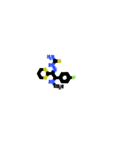 NC(=S)N/N=C(\C1SCCCS1)C(NC(=O)O)c1ccc(F)cc1